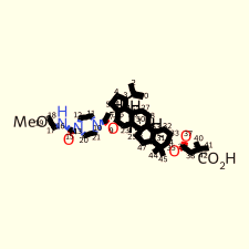 C=C(C)[C@@H]1CC[C@]2(CC(=O)N3CCN(C(=O)NCCOC)CC3)CC[C@]3(C)[C@H](CC[C@@H]4[C@@]5(C)CC[C@H](OC(=O)CC(C)(C)C(=O)O)C(C)(C)C5CC[C@]43C)[C@@H]12